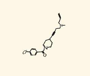 C=CCN(C)CCC#CC1CCN(C(=O)c2ccc(Cl)cc2)CC1